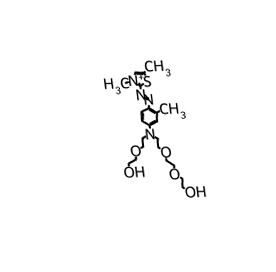 Cc1c[n+](C)c(/N=N/c2ccc(N(CCOCCO)CCOCCOCCO)cc2C)s1